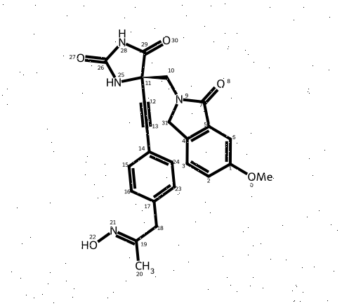 COc1ccc2c(c1)C(=O)N(C[C@@]1(C#Cc3ccc(CC(C)=NO)cc3)NC(=O)NC1=O)C2